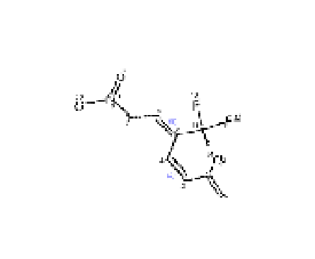 C=C(Cl)/C=C\C(=C/C[N+](=O)[O-])C(F)(F)F